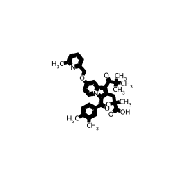 Cc1cccc(COc2ccn3c(C(=O)c4ccc(C)c(C)c4)c(CC(C)(C)C(=O)O)c(C(=O)C(C)(C)C)c3c2)n1